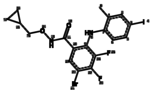 Cc1cc(I)ccc1Nc1c(C(=O)NOCC2CC2)cc(Br)c(F)c1F